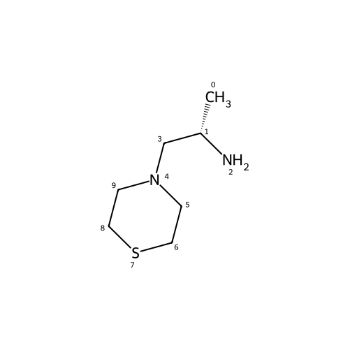 C[C@H](N)CN1CCSCC1